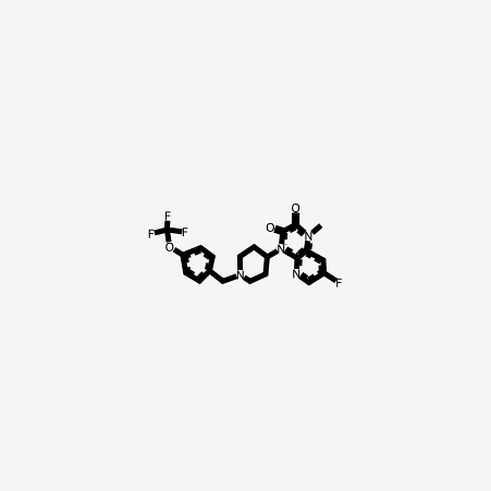 Cn1c(=O)c(=O)n(C2CCN(Cc3ccc(OC(F)(F)F)cc3)CC2)c2ncc(F)cc21